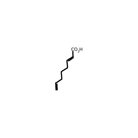 C=CCCC/C=C/C(=O)O